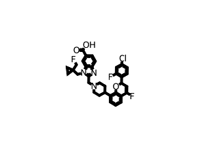 O=C(O)c1ccc2nc(CN3CCC(c4cccc5c4OC(c4ccc(Cl)cc4F)C=C5F)CC3)n(CC3(CF)CC3)c2c1